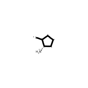 N[C@H]1CCCC1I